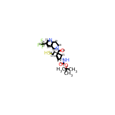 CC(C)(C)OC(=O)N[C@@H]1C=C[C@](CCS)(C(=O)N2CCc3ncc(C(F)(F)F)cc3C2)C1